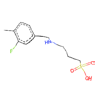 Cc1ccc(CNCCCS(=O)(=O)O)cc1F